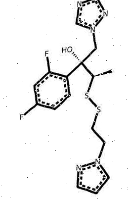 C[C@@H](SSCCn1cccn1)[C@](O)(Cn1cncn1)c1ccc(F)cc1F